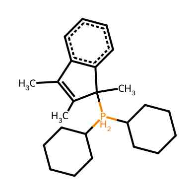 CC1=C(C)C(C)([PH2](C2CCCCC2)C2CCCCC2)c2ccccc21